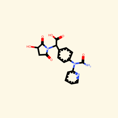 NC(=O)N(c1ccc(C(C(=O)O)N2C(=O)CC(O)C2=O)cc1)c1ccccn1